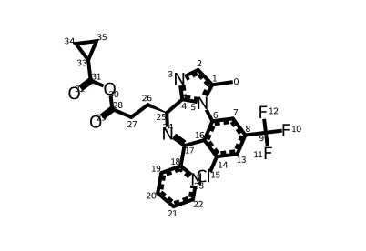 Cc1cnc2n1-c1cc(C(F)(F)F)cc(Cl)c1C(c1ccccn1)=N[C@H]2CCC(=O)OC(=O)C1CC1